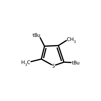 Cc1sc(C(C)(C)C)c(C)c1C(C)(C)C